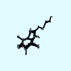 CCCOCc1nc2c([nH]1)c(=O)n(C)c(=O)n2C